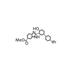 COC(=O)c1ccc2nc(-c3cc(-c4ccc(C(C)C)cc4)ccc3O)[nH]c2c1